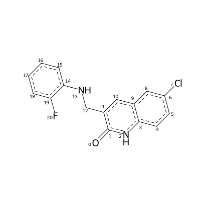 O=c1[nH]c2ccc(Cl)cc2cc1CNc1ccccc1F